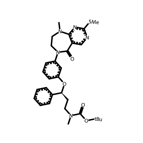 CSc1ncc2c(n1)N(C)CCN(c1cccc(O[C@@H](CCN(C)C(=O)OC(C)(C)C)c3ccccc3)c1)C2=O